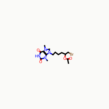 CC(=O)OC(CBr)CCCCN1CN(C)c2c1n(C)c(=O)[nH]c2=O